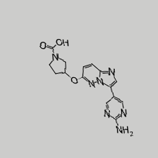 Nc1ncc(-c2cnc3ccc(OC4CCN(C(=O)O)C4)nn23)cn1